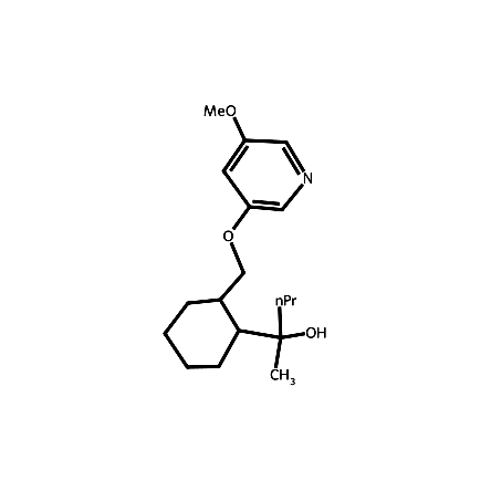 CCCC(C)(O)C1CCCCC1COc1cncc(OC)c1